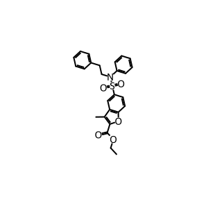 CCOC(=O)c1oc2ccc(S(=O)(=O)N(CCc3ccccc3)c3ccccc3)cc2c1C